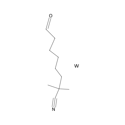 CC(C)(C#N)CCCCCC=O.[W]